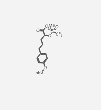 CCCCOc1ccc(CCCC(OS(=O)(=O)C(F)(F)F)C(=O)OC)cc1